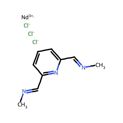 CN=Cc1cccc(C=NC)n1.[Cl-].[Cl-].[Cl-].[Nd+3]